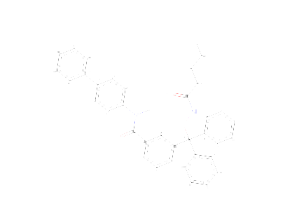 CCN(C(=O)c1cccc(C(ONC(=O)CCCC(=O)O)(c2ccccc2)c2ccccc2)c1)c1ccc(-c2ccccc2)cc1